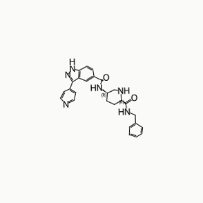 O=C(N[C@@H]1CC[C@H](C(=O)NCc2ccccc2)NC1)c1ccc2[nH]nc(-c3ccncc3)c2c1